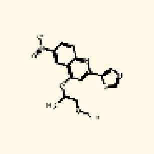 COCC(C)Oc1cc(-c2cncs2)nc2ccc([N+](=O)[O-])cc12